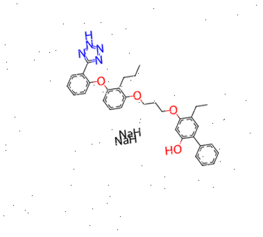 CCCc1c(OCCCOc2cc(O)c(-c3ccccc3)cc2CC)cccc1Oc1ccccc1-c1nn[nH]n1.[NaH].[NaH]